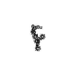 CC(C)(C)OC(=O)CN1CCN(c2ccc(-c3ccc(OCc4ccccc4)nc3OCc3ccccc3)cn2)CC1